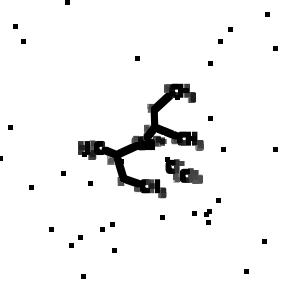 CC[CH](C)[Sn+2][CH](C)CC.[Cl-].[Cl-]